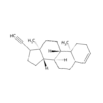 C#CC1CC[C@H]2[C@@H]3CCC4C=CCC[C@]4(C)[C@H]3CC[C@]12C